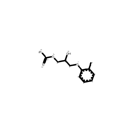 Cc1ccccc1OCC(O)COC(=O)C(C)C